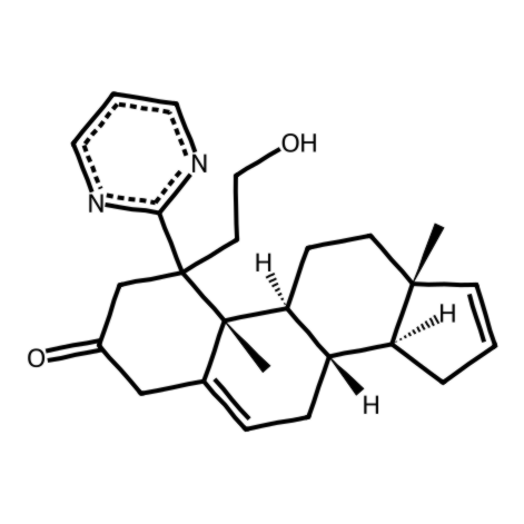 C[C@@]12C=CC[C@H]1[C@@H]1CC=C3CC(=O)CC(CCO)(c4ncccn4)[C@]3(C)[C@H]1CC2